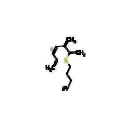 C=C/C=C\C(=C)C(=C)SCCCC(C)C